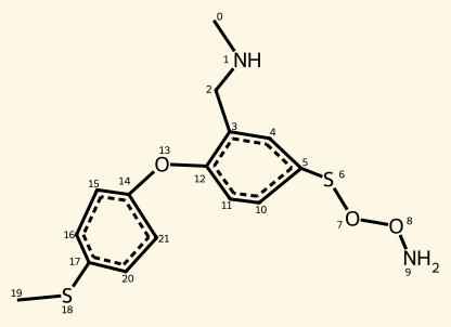 CNCc1cc(SOON)ccc1Oc1ccc(SC)cc1